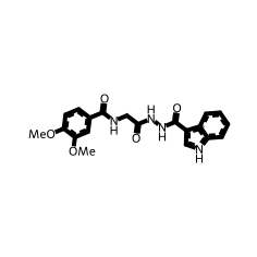 COc1ccc(C(=O)NCC(=O)NNC(=O)c2c[nH]c3ccccc23)cc1OC